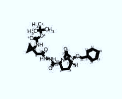 CC(C)(C)OC(=O)NC1(CC(=O)NNC(=O)[C@@H]2CC[C@@H]3CN2C(=O)N3OCc2ccccc2)CC1